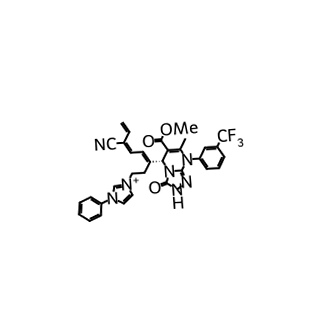 C=C/C(C#N)=C\C=C(/CC[n+]1ccn(-c2ccccc2)c1)[C@@H]1C(C(=O)OC)=C(C)N(c2cccc(C(F)(F)F)c2)c2n[nH]c(=O)n21